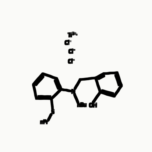 CCCCN(Cc1ccccc1O)c1ccccc1SCCC.[Cl-].[Cl-].[Cl-].[Ti+3]